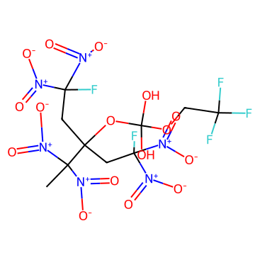 CC([N+](=O)[O-])([N+](=O)[O-])C(CC(F)([N+](=O)[O-])[N+](=O)[O-])(CC(F)([N+](=O)[O-])[N+](=O)[O-])OC(O)(O)OCC(F)(F)F